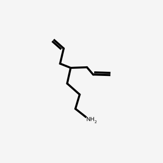 C=CCC(CC=C)CCCN